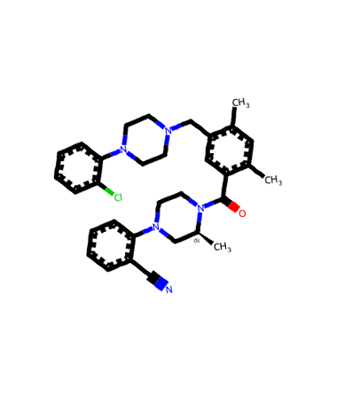 Cc1cc(C)c(C(=O)N2CCN(c3ccccc3C#N)C[C@@H]2C)cc1CN1CCN(c2ccccc2Cl)CC1